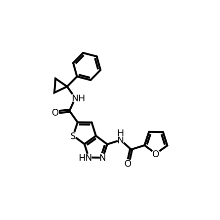 O=C(Nc1n[nH]c2sc(C(=O)NC3(c4ccccc4)CC3)cc12)c1ccco1